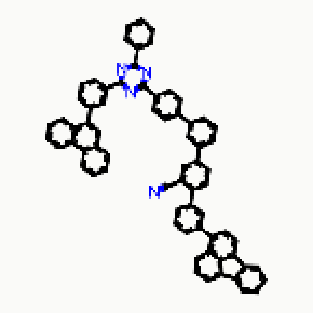 N#Cc1cc(-c2cccc(-c3ccc(-c4nc(-c5ccccc5)nc(-c5cccc(-c6cc7ccccc7c7ccccc67)c5)n4)cc3)c2)ccc1-c1cccc(-c2ccc3c4c(cccc24)-c2ccccc2-3)c1